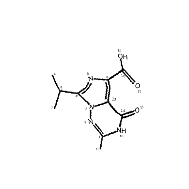 Cc1nn2c(C(C)C)nc(C(=O)O)c2c(=O)[nH]1